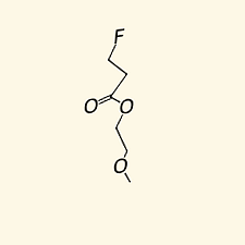 COCCOC(=O)CCF